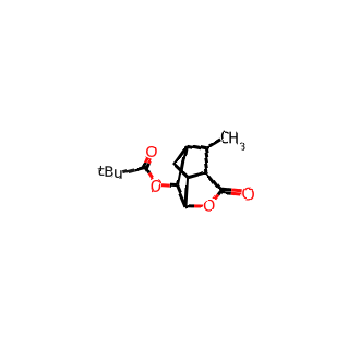 CC1C2CC3C(OC(=O)C13)C2OC(=O)C(C)(C)C